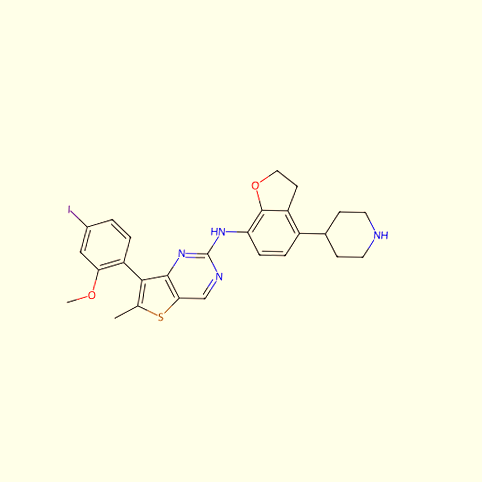 COc1cc(I)ccc1-c1c(C)sc2cnc(Nc3ccc(C4CCNCC4)c4c3OCC4)nc12